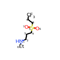 CCNCCCS(=O)(=O)CCC(F)(F)F